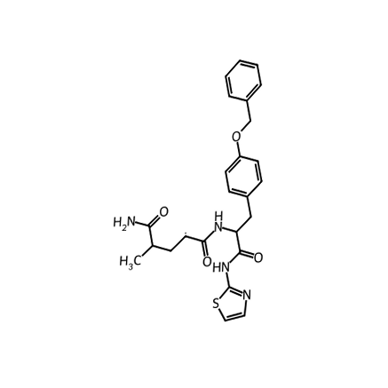 CC(C[CH]C(=O)NC(Cc1ccc(OCc2ccccc2)cc1)C(=O)Nc1nccs1)C(N)=O